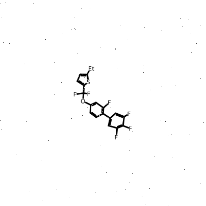 CCc1ccc(C(F)(F)Oc2ccc(-c3cc(F)c(F)c(F)c3)c(F)c2)s1